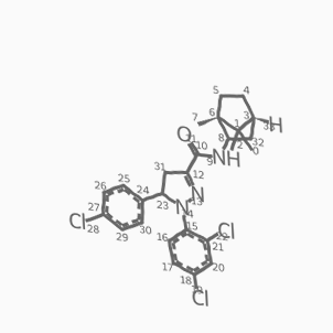 CC1(C)[C@@H]2CC[C@@]1(C)C(NC(=O)C1=NN(c3ccc(Cl)cc3Cl)C(c3ccc(Cl)cc3)C1)C2